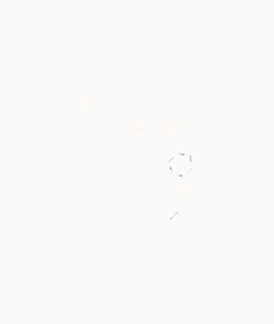 C=CCOc1ccc(C(F)(F)OC2CCC(C3CCC(OCC)CC3)OC2)c(F)c1C(F)F